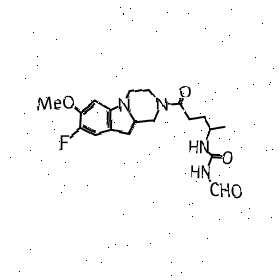 COc1cc2c(cc1F)CC1CN(C(=O)CCC(C)NC(=O)NC=O)CCN21